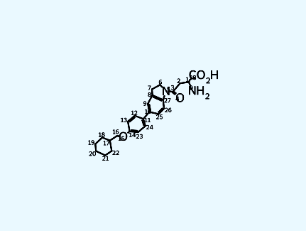 NC(CC(=O)N1CCc2cc(-c3ccc(OCC4CCCCC4)cc3)ccc21)C(=O)O